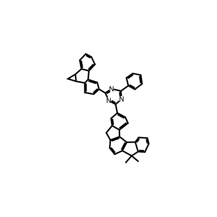 CC1(C)c2ccccc2-c2c1ccc1c2-c2ccc(-c3nc(-c4ccccc4)nc(-c4ccc5c(c4)-c4ccccc4C4CC54)n3)cc2C1